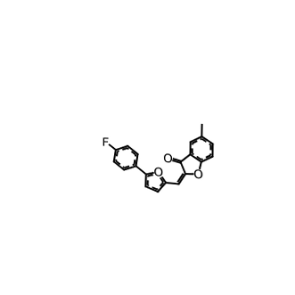 Cc1ccc2c(c1)C(=O)C(=Cc1ccc(-c3ccc(F)cc3)o1)O2